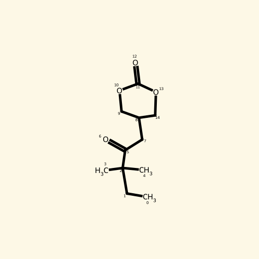 CCC(C)(C)C(=O)CC1COC(=O)OC1